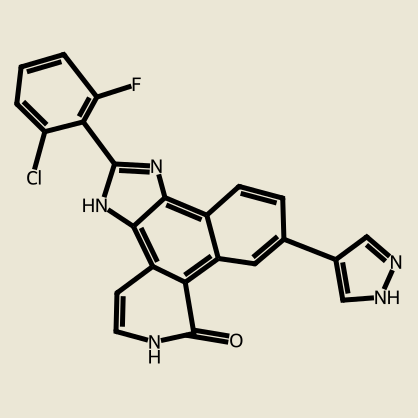 O=c1[nH]ccc2c3[nH]c(-c4c(F)cccc4Cl)nc3c3ccc(-c4cn[nH]c4)cc3c12